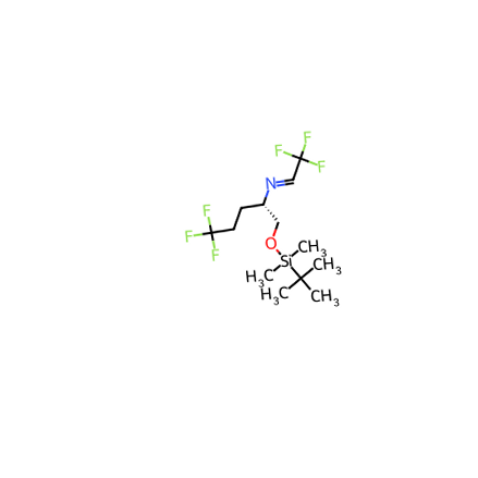 CC(C)(C)[Si](C)(C)OC[C@H](CCC(F)(F)F)/N=C/C(F)(F)F